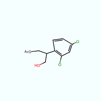 CC(=O)OCC(CO)c1ccc(Cl)cc1Cl